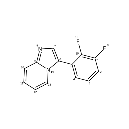 Fc1cccc(-c2cnc3ccccn23)c1F